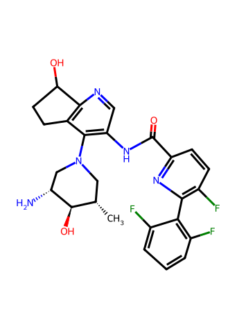 C[C@H]1CN(c2c(NC(=O)c3ccc(F)c(-c4c(F)cccc4F)n3)cnc3c2CCC3O)C[C@@H](N)[C@@H]1O